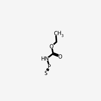 CCOC(=O)NP=S